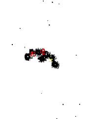 c1ccc(-c2ccc(-c3ccc4c(c3)-c3ccccc3-c3cc(-c5ccc(-c6ccccc6)s5)ccc3O4)o2)cc1